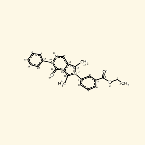 CCOC(=O)c1cccc(-n2c(C)c3cnn(-c4ccccc4)c(=O)c3c2C)c1